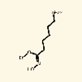 CCCCCCCCCCCC(=NO)OCC